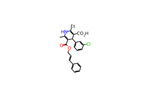 CCC1=C(C(=O)O)C(c2cccc(Cl)c2)C(C(=O)OCC=Cc2ccccc2)=C(C)N1